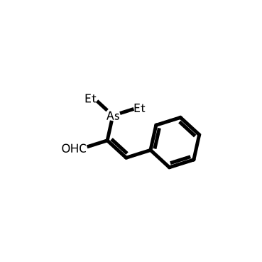 CC[As](CC)C(C=O)=Cc1ccccc1